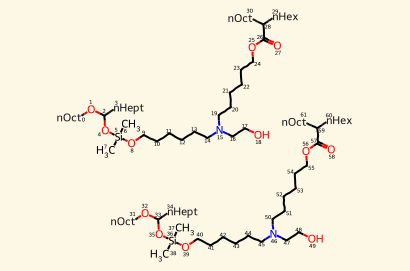 CCCCCCCCOC(CCCCCCC)O[Si](C)(C)OCCCCCCN(CCO)CCCCCCOC(=O)C(CCCCCC)CCCCCCCC.CCCCCCCCOC(CCCCCCC)O[Si](C)(C)OCCCCCCN(CCO)CCCCCCOC(=O)C(CCCCCC)CCCCCCCC